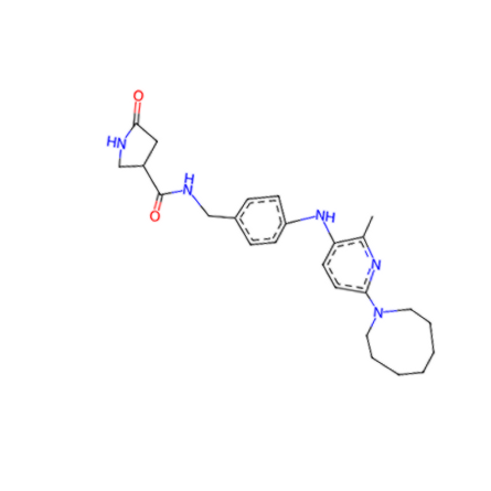 Cc1nc(N2CCCCCCC2)ccc1Nc1ccc(CNC(=O)C2CNC(=O)C2)cc1